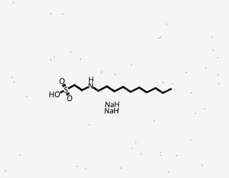 CCCCCCCCCCNCCS(=O)(=O)O.[NaH].[NaH]